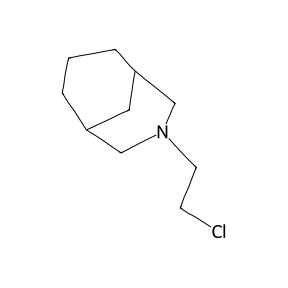 ClCCN1CC2CCCC(C2)C1